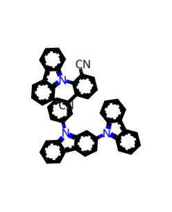 N#Cc1cccc(-c2cccc(-n3c4ccccc4c4ccc(-n5c6ccccc6c6ccccc65)cc43)c2)c1-n1c2ccccc2c2cccc(C#N)c21